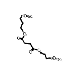 CCCCCCCCCCCCCOC(=O)CCC(=O)OCCCCCCCCCCCCC